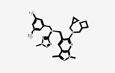 Cc1nn(C)c2nc(N(CC3CCC3)CC3CC3)c(CN(Cc3cc(C(F)(F)F)cc(C(F)(F)F)c3)c3nnn(C)n3)cc12